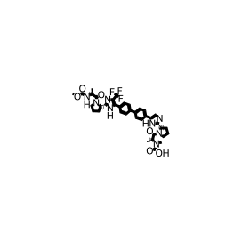 COC(=O)N[C@@H](C)C(=O)N1CCC[C@H]1c1nc(C(F)(F)F)c(-c2ccc(-c3ccc(-c4cnc([C@@H]5CCCN5C(=O)[C@H](C)N(C)C(=O)O)[nH]4)cc3)cc2)[nH]1